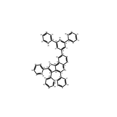 c1ccc(-c2nc3ccc(-c4cc(-c5ccccn5)nc(-c5ccccn5)c4)cc3c3oc(-c4ccccn4)c(-c4ccccn4)c23)cc1